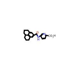 CC12CCCc3cc(C(=O)Nc4ccc(C(=O)O)nc4)cc(c31)CCC2